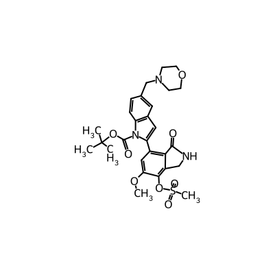 COc1cc(-c2cc3cc(CN4CCOCC4)ccc3n2C(=O)OC(C)(C)C)c2c(c1OS(C)(=O)=O)CNC2=O